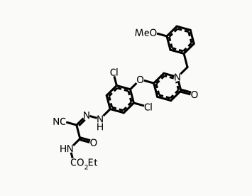 CCOC(=O)NC(=O)C(C#N)=NNc1cc(Cl)c(Oc2ccc(=O)n(Cc3cccc(OC)c3)c2)c(Cl)c1